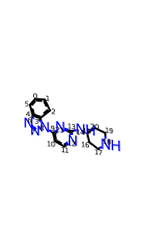 c1ccc2c(c1)nnn2-c1ccnc(NC2CCNCC2)n1